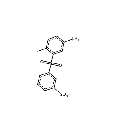 Cc1ccc(N)cc1S(=O)(=O)c1cccc(S(=O)(=O)O)c1